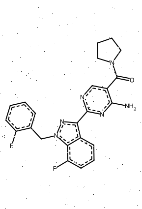 Nc1nc(-c2nn(Cc3ccccc3F)c3c(F)cccc23)ncc1C(=O)N1CCCC1